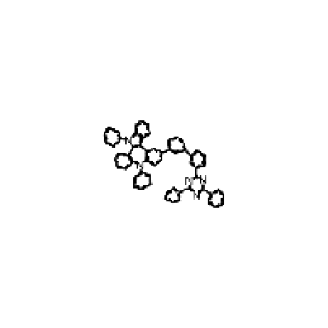 c1ccc(-c2nc(-c3ccccc3)nc(-c3cccc(-c4cccc(-c5ccc6c(c5)-c5c(n(-c7ccccc7)c7ccccc57)-c5ccccc5N6c5ccccc5)c4)c3)n2)cc1